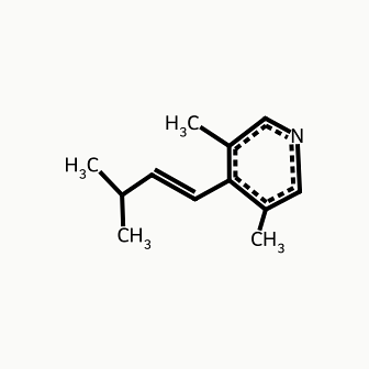 Cc1cncc(C)c1/C=C/C(C)C